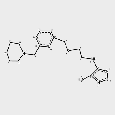 Nc1nsnc1NCCSCc1cccc(CN2CCCCC2)n1